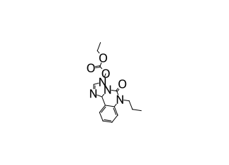 CCCN1C(=O)N2C(N=CN2OC(=O)OCC)c2ccccc21